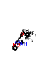 CC(OCCCC[C@@H](CNCc1ccccc1)N1CCNC1O)c1cc(C(F)(F)F)cc(C(F)(F)F)c1